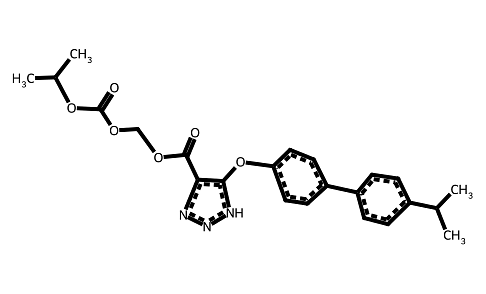 CC(C)OC(=O)OCOC(=O)c1nn[nH]c1Oc1ccc(-c2ccc(C(C)C)cc2)cc1